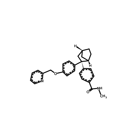 CNC(=O)c1ccc([C@]2(c3ccc(OCc4ccccn4)cc3)C[C@@H]3CC[C@H]2C3)cc1